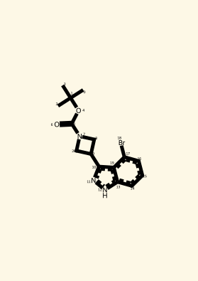 CC(C)(C)OC(=O)N1CC(c2n[nH]c3cccc(Br)c23)C1